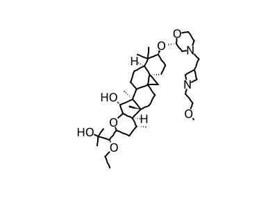 CCO[C@@H](C1C[C@@H](C)[C@H]2C(O1)[C@H](O)[C@@]1(C)C3CC[C@H]4C(C)(C)[C@@H](O[C@H]5CN(CC6CN(CCOC)C6)CCO5)CC[C@@]45CC35CC[C@]21C)C(C)(C)O